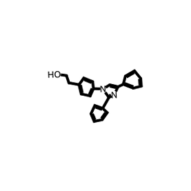 OCCc1ccc(-n2cc(-c3ccccc3)nc2-c2ccccc2)cc1